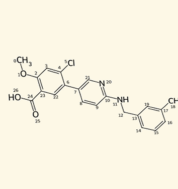 COc1cc(Cl)c(-c2ccc(NCc3cccc(C)c3)nc2)cc1C(=O)O